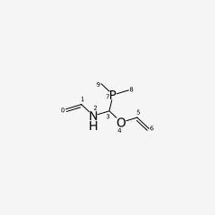 C=CNC(OC=C)P(C)C